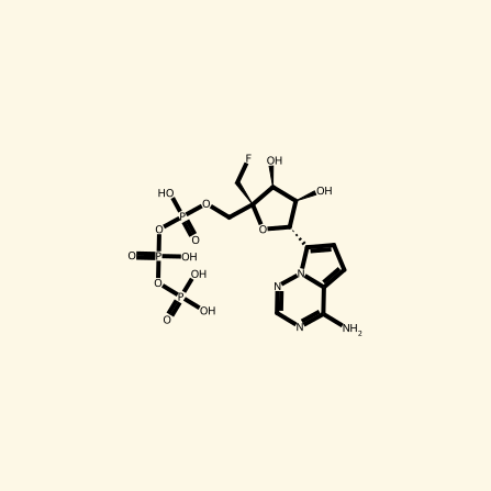 Nc1ncnn2c([C@@H]3O[C@](CF)(COP(=O)(O)OP(=O)(O)OP(=O)(O)O)[C@@H](O)[C@H]3O)ccc12